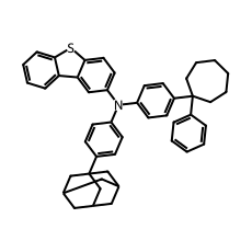 c1ccc(C2(c3ccc(N(c4ccc(C56CC7CC(CC(C7)C5)C6)cc4)c4ccc5sc6ccccc6c5c4)cc3)CCCCCC2)cc1